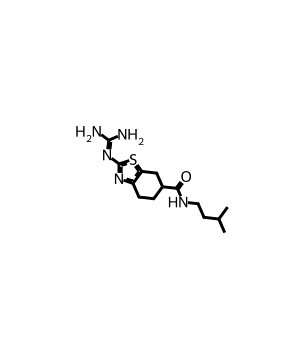 CC(C)CCNC(=O)C1CCc2nc(N=C(N)N)sc2C1